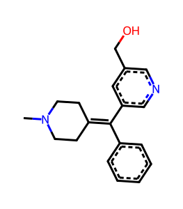 CN1CCC(=C(c2ccccc2)c2cncc(CO)c2)CC1